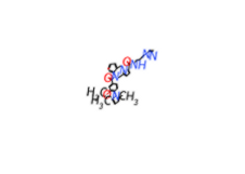 COc1cc(C(=O)N2Cc3ccc(C(=O)NCCCn4ccnc4)n3Cc3ccccc32)ccc1-n1c(C)ccc1C